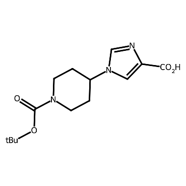 CC(C)(C)OC(=O)N1CCC(n2cnc(C(=O)O)c2)CC1